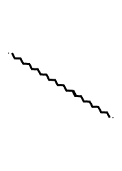 [CH2]CCCCCCC/C=C/CCCCCCCCCCCCC[CH2]